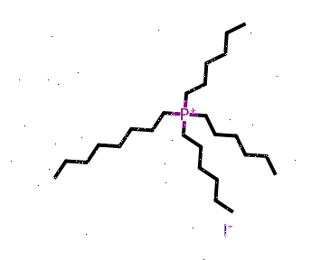 CCCCCCCC[P+](CCCCCC)(CCCCCC)CCCCCC.[I-]